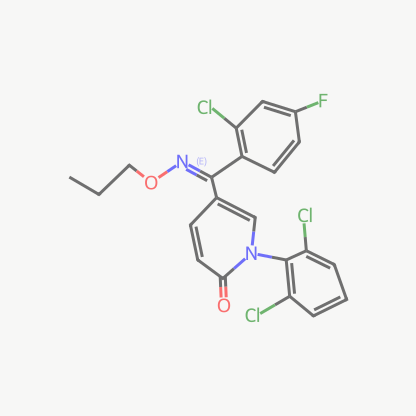 CCCO/N=C(\c1ccc(=O)n(-c2c(Cl)cccc2Cl)c1)c1ccc(F)cc1Cl